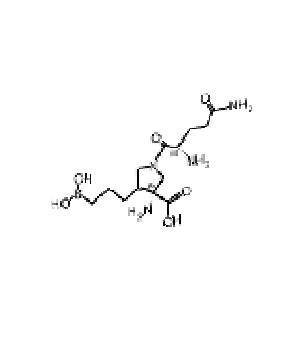 NC(=O)CC[C@H](N)C(=O)N1CC(CCCB(O)O)[C@](N)(C(=O)O)C1